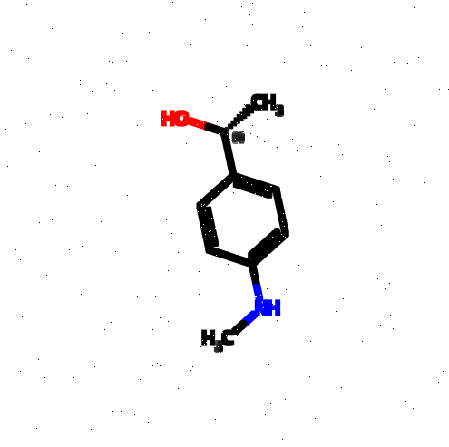 CNc1ccc([C@@H](C)O)cc1